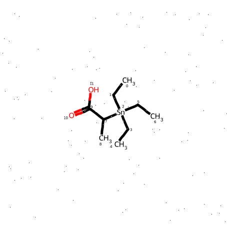 C[CH2][Sn]([CH2]C)([CH2]C)[CH](C)C(=O)O